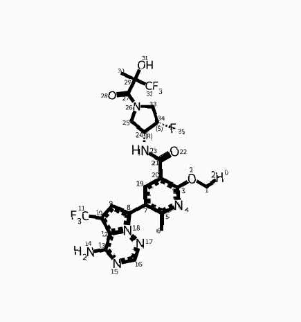 [2H]COc1nc(C)c(-c2cc(C(F)(F)F)c3c(N)ncnn23)cc1C(=O)N[C@@H]1CN(C(=O)C(C)(O)C(F)(F)F)C[C@@H]1F